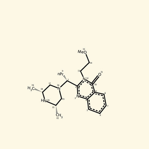 CCC[C@H](c1nc2ccccc2c(=O)n1CCOC)N1C[C@@H](C)N[C@@H](C)C1